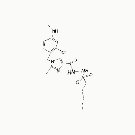 CCCCCS(=O)(=O)NNC(=O)c1cn(Cc2ccc(NC)cc2Cl)c(C)n1